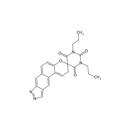 CCCN1C(=O)N(CCC)C(=O)C2(CC=c3c(ccc4cc5c(cc34)=CN=N5)O2)C1=O